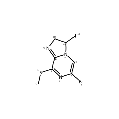 CSC1=NC(Br)=CN2C1=NCC2I